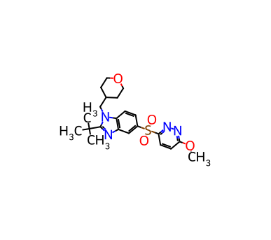 COc1ccc(S(=O)(=O)c2ccc3c(c2)nc(C(C)(C)C)n3CC2CCOCC2)nn1